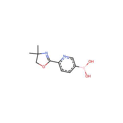 CC1(C)COC(c2ccc(B(O)O)cn2)=N1